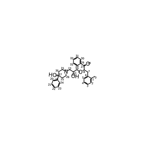 Cc1ccccc1CC(OCC(O)CN1CCC(O)(c2ccccc2)CC1)C(=O)c1ccccc1